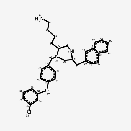 NCCCCC1CNC(Cc2ccc3ccccc3c2)CN1Cc1ccc(Oc2cccc(Cl)c2)cc1